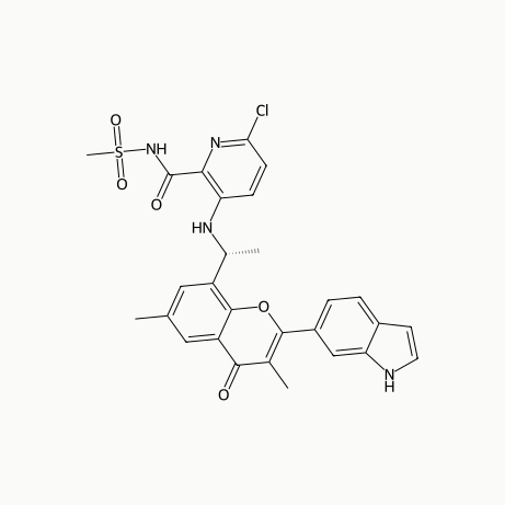 Cc1cc([C@@H](C)Nc2ccc(Cl)nc2C(=O)NS(C)(=O)=O)c2oc(-c3ccc4cc[nH]c4c3)c(C)c(=O)c2c1